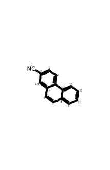 N#Cc1ccc2c(ccc3ccccc32)c1